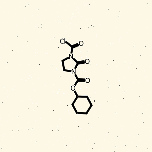 O=C(Cl)N1CCN(C(=O)OC2CCCCC2)C1=O